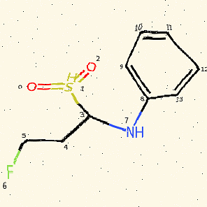 O=[SH](=O)C(CCF)Nc1ccccc1